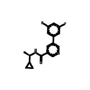 C[C@@H](NC(=O)c1cncc(-c2cc(F)cc(F)c2)c1)C1CC1